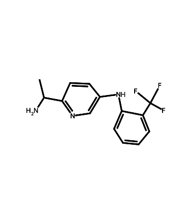 CC(N)c1ccc(Nc2ccccc2C(F)(F)F)cn1